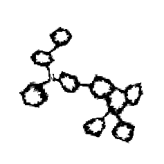 c1ccc(-c2cccc(N(c3ccccc3)c3ccc(-c4ccc5c(c4)c(-c4ccccc4)c(-c4ccccc4)c4ccccc45)cc3)c2)cc1